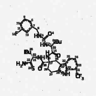 CCC(C)[C@H](NC(=O)NCc1cccc(F)c1)C(=O)NC1(C(=O)N[C@H](C(N)=S)C(C)CC)CCc2[nH]c3c(C(F)(F)F)cccc3c2C1